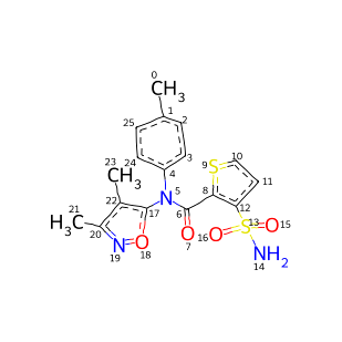 Cc1ccc(N(C(=O)c2sccc2S(N)(=O)=O)c2onc(C)c2C)cc1